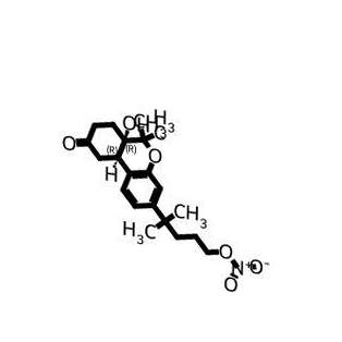 CC(C)(CCCO[N+](=O)[O-])c1ccc2c(c1)OC(C)(C)[C@@]1(O)CCC(=O)C[C@H]21